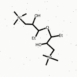 CCC(OC(CC)C(O)C[N+](C)(C)C)C(O)C[N+](C)(C)C